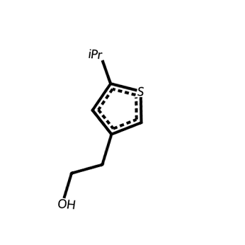 CC(C)c1cc(CCO)cs1